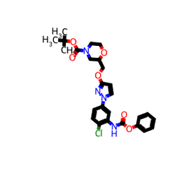 CC(C)(C)OC(=O)N1CCOC(COc2ccn(-c3ccc(Cl)c(NC(=O)Oc4ccccc4)c3)n2)C1